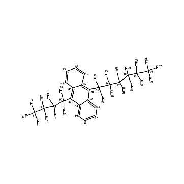 FC(F)(F)C(F)(F)C(F)(F)C(F)(F)c1c2ccccc2c(C(F)(F)C(F)(F)C(F)(F)C(F)(F)C(F)(F)C(F)(F)F)c2ccccc12